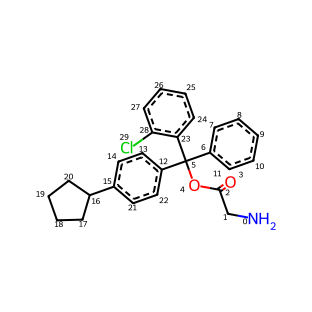 NCC(=O)OC(c1ccccc1)(c1ccc(C2CCCC2)cc1)c1ccccc1Cl